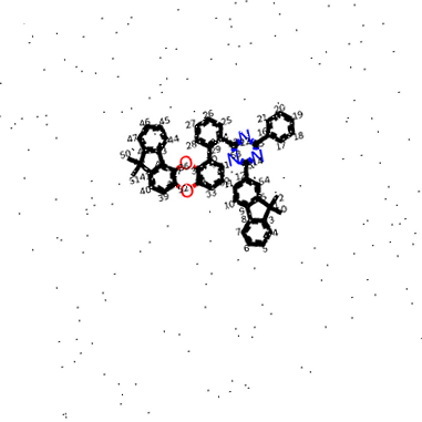 CC1(C)c2ccccc2-c2ccc(-c3nc(-c4ccccc4)nc(-c4ccccc4-c4cccc5c4Oc4c(ccc6c4-c4ccccc4C6(C)C)O5)n3)cc21